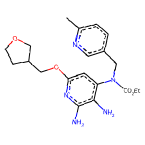 CCOC(=O)N(Cc1ccc(C)nc1)c1cc(OCC2CCOC2)nc(N)c1N